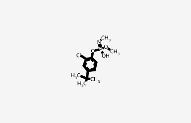 CN=P(O)(OC)Oc1ccc(C(C)(C)C)cc1Cl